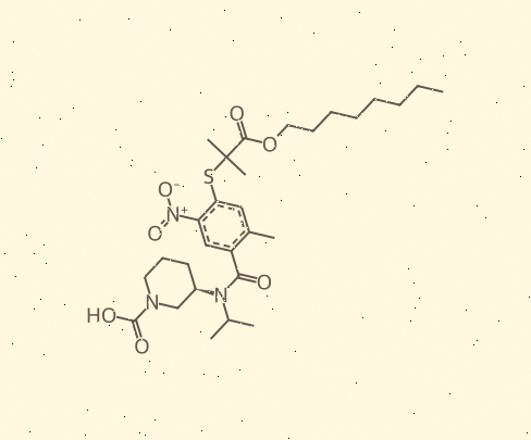 CCCCCCCCOC(=O)C(C)(C)Sc1cc(C)c(C(=O)N(C(C)C)[C@@H]2CCCN(C(=O)O)C2)cc1[N+](=O)[O-]